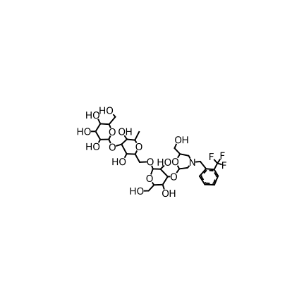 CC1OC(COC2OC(CO)C(O)C(OC3CN(Cc4ccccc4C(F)(F)F)CC(CO)O3)C2O)C(O)C(OC2OC(CO)C(O)C(O)C2O)C1O